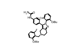 COc1cccc(F)c1CN1CCc2nn(-c3c(C)cccc3OCC(C)C)c(-c3ccc(NC(N)=O)cc3)c2C1